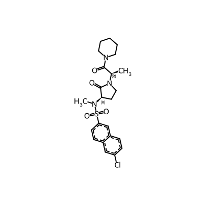 C[C@H](C(=O)N1CCCCC1)N1CC[C@@H](N(C)S(=O)(=O)c2ccc3cc(Cl)ccc3c2)C1=O